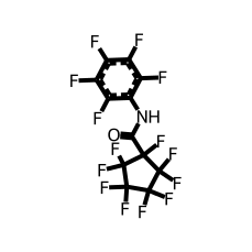 O=C(Nc1c(F)c(F)c(F)c(F)c1F)C1(F)C(F)(F)C(F)(F)C(F)(F)C1(F)F